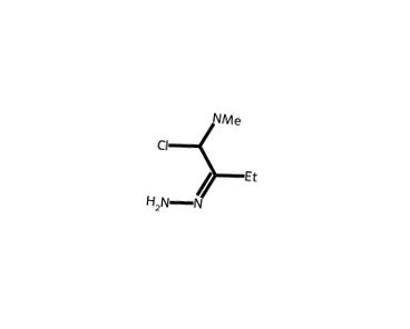 CC/C(=N/N)C(Cl)NC